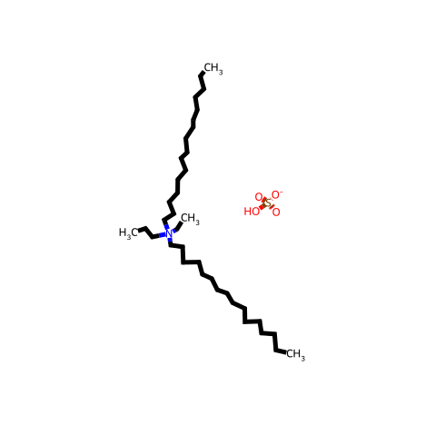 CCCCCCCCCCCCCCCC[N+](CC)(CCC)CCCCCCCCCCCCCCCC.O=S(=O)([O-])O